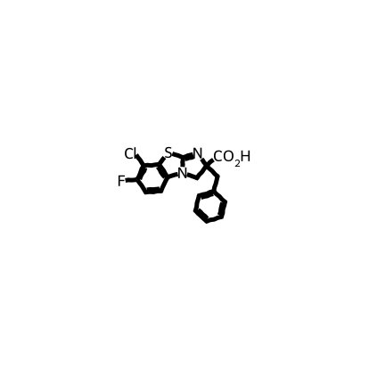 O=C(O)C1(Cc2ccccc2)CN2C(=N1)Sc1c2ccc(F)c1Cl